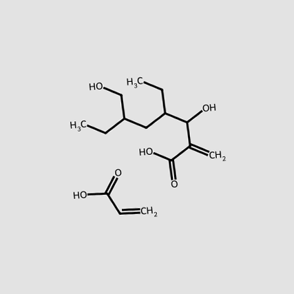 C=C(C(=O)O)C(O)C(CC)CC(CC)CO.C=CC(=O)O